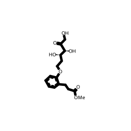 COC(=O)CCc1ccccc1OCC[C@H](O)[C@@H](O)C(=O)CO